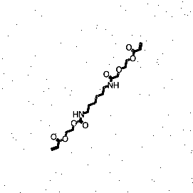 C=CC(=O)OCCOCC(=O)NCCCCCCNC(=O)OCCOC(=O)C=C